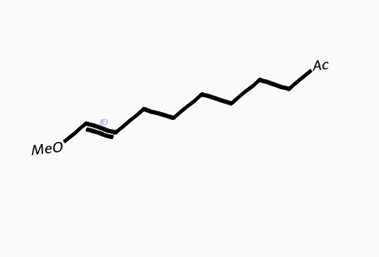 CO/C=C/CCCCCCC(C)=O